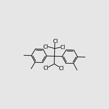 Cc1ccc(C(c2ccc(C)c(C)c2)(C(Cl)Cl)C(Cl)(Cl)Cl)cc1C